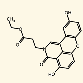 CCOC(=O)CCn1cc2c3c(ccc(O)c3c1=O)Oc1ccc(O)cc1-2